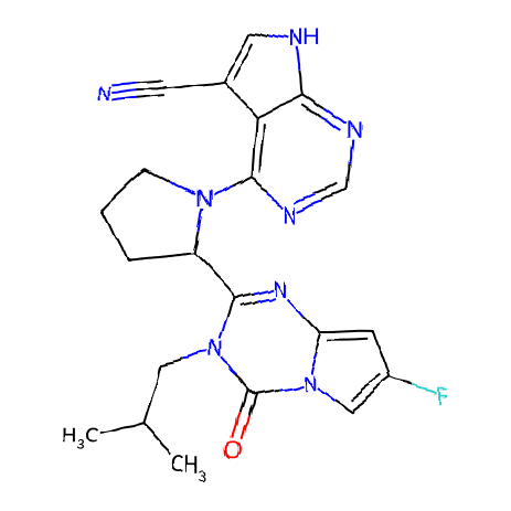 CC(C)Cn1c(C2CCCN2c2ncnc3[nH]cc(C#N)c23)nc2cc(F)cn2c1=O